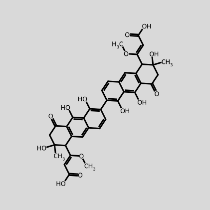 COC(=CC(=O)O)C1c2cc3ccc(-c4ccc5cc6c(c(O)c5c4O)C(=O)CC(C)(O)C6C(=CC(=O)O)OC)c(O)c3c(O)c2C(=O)CC1(C)O